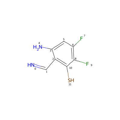 N=Cc1c(N)cc(F)c(F)c1S